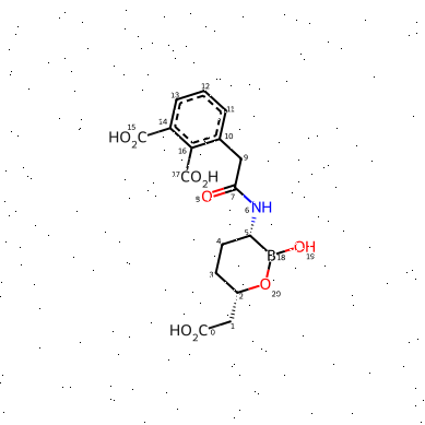 O=C(O)C[C@@H]1CC[C@H](NC(=O)Cc2cccc(C(=O)O)c2C(=O)O)B(O)O1